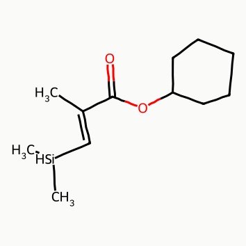 CC(=C[SiH](C)C)C(=O)OC1CCCCC1